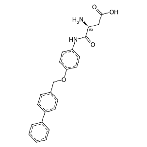 N[C@@H](CC(=O)O)C(=O)Nc1ccc(OCc2ccc(-c3ccccc3)cc2)cc1